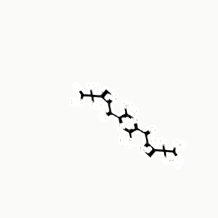 CC(C)(C(=O)O)C1=CN=C1C(=O)c1nc(N)c(C(=O)C2=NC=C2C(C)(C)C(=O)O)nc1N